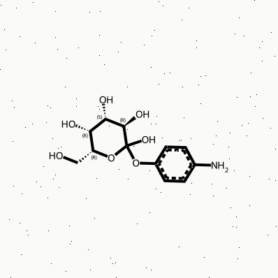 Nc1ccc(OC2(O)O[C@H](CO)[C@H](O)[C@H](O)[C@H]2O)cc1